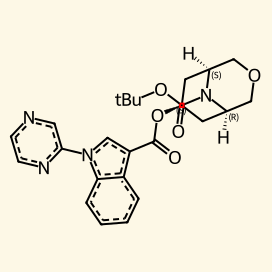 CC(C)(C)OC(=O)N1[C@@H]2COC[C@H]1C[C@@H](OC(=O)c1cn(-c3cnccn3)c3ccccc13)C2